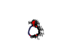 C[C@@H]1[C@H](O)[C@@H](C)/C=C/C=C/C=C/C=C/C=C/C=C/C=C/[C@H](O[C@@H]2O[C@H](C)[C@@H](O)[C@H](N)[C@@H]2O)C[C@@H]2O[C@](O)(C[C@@H](O)C[C@@H](O)[C@H](O)CC[C@@H](O)C[C@@H](O)CC(=O)O[C@H]1C)C[C@H](O)C2C(=O)NC(C)(CO)CO